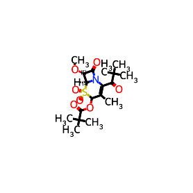 CO[C@H]1C(=O)N2C(C(=O)C(C)(C)C)=C(C)C(OC(=O)C(C)(C)C)S(=O)(=O)[C@@H]12